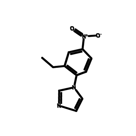 CCc1cc([N+](=O)[O-])ccc1-n1ccnc1